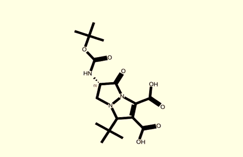 CC(C)(C)OC(=O)N[C@H]1CN2C(C(C)(C)C)C(C(=O)O)=C(C(=O)O)N2C1=O